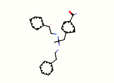 CC(Cc1ccc(C(N)=O)cc1)(NC[C@H](O)c1ccccc1)NC[C@H](O)c1ccccc1